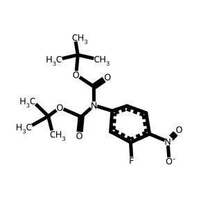 CC(C)(C)OC(=O)N(C(=O)OC(C)(C)C)c1ccc([N+](=O)[O-])c(F)c1